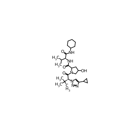 CC(C)[C@H](NC(=O)C1CC(O)CN1C(=O)[C@@H](n1cc(C2CC2)nn1)C(C)(C)C)C(=O)NC1CCCCC1